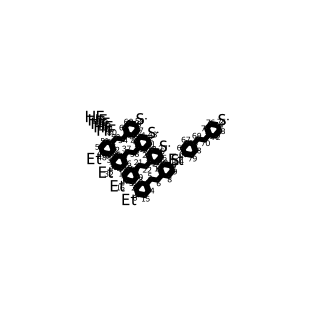 CCc1ccc(CCc2ccc([S])cc2)cc1.CCc1ccc(CCc2ccc([S])cc2)cc1.CCc1ccc(CCc2ccc([S])cc2)cc1.CCc1ccc(CCc2ccc([S])cc2)cc1.CCc1ccc(CCc2ccc([S])cc2)cc1.F.F.F.F.F